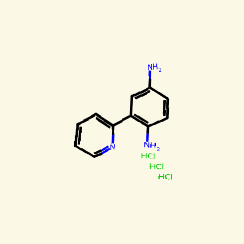 Cl.Cl.Cl.Nc1ccc(N)c(-c2ccccn2)c1